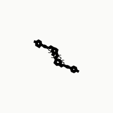 Cc1ccc(C#Cc2cc3ccc4c(sc5c6ccc7cc(C#Cc8ccc(C)cc8)sc7c6sc45)c3s2)cc1